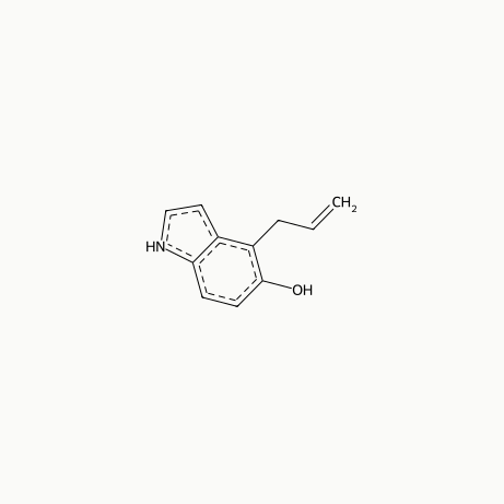 C=CCc1c(O)ccc2[nH]ccc12